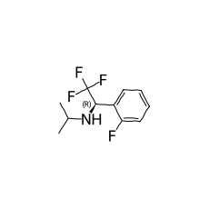 CC(C)N[C@H](c1ccccc1F)C(F)(F)F